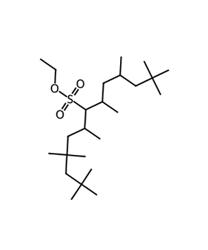 CCOS(=O)(=O)C(C(C)CC(C)CC(C)(C)C)C(C)CC(C)(C)CC(C)(C)C